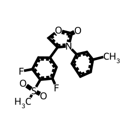 Cc1cccc(-n2c(-c3cc(F)c(S(C)(=O)=O)c(F)c3)coc2=O)c1